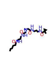 CCCCCC(=O)NCCCNC(=O)CN(C)CC(=O)NCCCNC(=O)C1(C)CC1